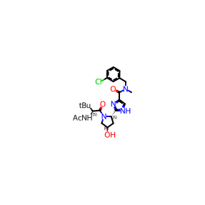 CC(=O)N[C@H](C(=O)N1C[C@H](O)C[C@H]1c1nc(C(=O)N(C)Cc2cccc(Cl)c2)c[nH]1)C(C)(C)C